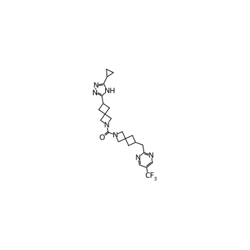 O=C(N1CC2(CC(Cc3ncc(C(F)(F)F)cn3)C2)C1)N1CC2(CC(c3nnc(C4CC4)[nH]3)C2)C1